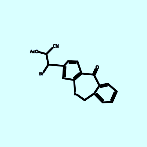 CC(=O)OC(C#N)C(Br)c1ccc2c(c1)SCc1ccccc1C2=O